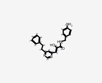 Nc1ccc(CNC(=O)/C(O)=C/c2cc(CCc3ccccc3)ncn2)cc1